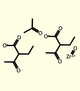 CC(C)=O.CCC(C(C)=O)C(=O)[O-].CCC(C(C)=O)C(=O)[O-].[O]=[Zr+2]